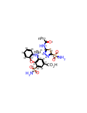 CCCC(=O)Nc1nnc(S(N)(=O)=O)s1.CCCCNc1cc(C(=O)O)cc(S(N)(=O)=O)c1Oc1ccccc1